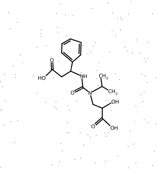 CC(C)N(CC(O)C(=O)O)C(=O)NC(CC(=O)O)c1ccccc1